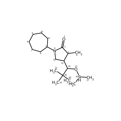 CC1C(=O)N(C2CCCCCC2)CC1C(O[SiH](C)C)C(C)(C)C